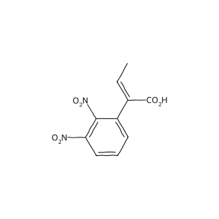 CC=C(C(=O)O)c1cccc([N+](=O)[O-])c1[N+](=O)[O-]